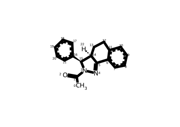 CC(=O)N1N=C2c3ccccc3CC[C@@H]2[C@@H]1c1ccccc1